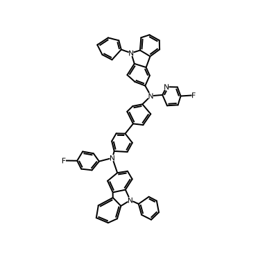 Fc1ccc(N(c2ccc(-c3ccc(N(c4ccc5c(c4)c4ccccc4n5-c4ccccc4)c4ccc(F)cn4)cc3)cc2)c2ccc3c(c2)c2ccccc2n3-c2ccccc2)cc1